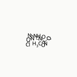 Cc1onc(-c2ccccc2)c1C(=O)N1CC[C@@H](Nc2cnc3ccc(Cl)cc3n2)C1